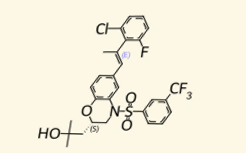 C/C(=C\c1ccc2c(c1)N(S(=O)(=O)c1cccc(C(F)(F)F)c1)C[C@H](CC(C)(C)O)O2)c1c(F)cccc1Cl